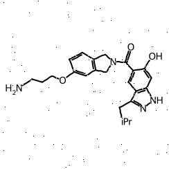 CC(C)Cc1n[nH]c2cc(O)c(C(=O)N3Cc4ccc(OCCCN)cc4C3)cc12